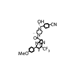 COc1ccc(-c2nc3c(C(=O)N4CCN([C@H](CO)c5ccc(C#N)cc5)C[C@H]4C)cnn3c(C(F)(F)F)c2C)cc1